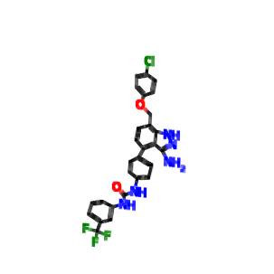 Nc1n[nH]c2c(COc3ccc(Cl)cc3)ccc(-c3ccc(NC(=O)Nc4cccc(C(F)(F)F)c4)cc3)c12